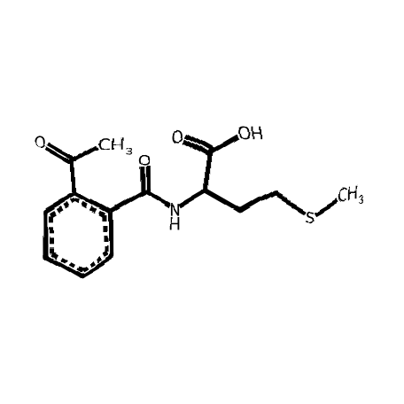 CSCCC(NC(=O)c1ccccc1C(C)=O)C(=O)O